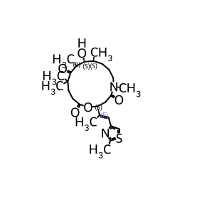 C/C(=C\c1csc(C)n1)[C@@H]1CC(=O)N(C)CCC[C@H](C)[C@H](O)[C@@H](C)C(=O)C(C)(C)CCC(=O)O1